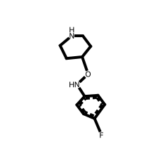 Fc1ccc(NOC2CCNCC2)cc1